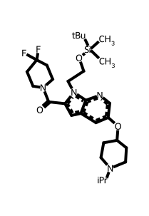 CC(C)N1CCC(Oc2cnc3c(c2)cc(C(=O)N2CCC(F)(F)CC2)n3CCO[Si](C)(C)C(C)(C)C)CC1